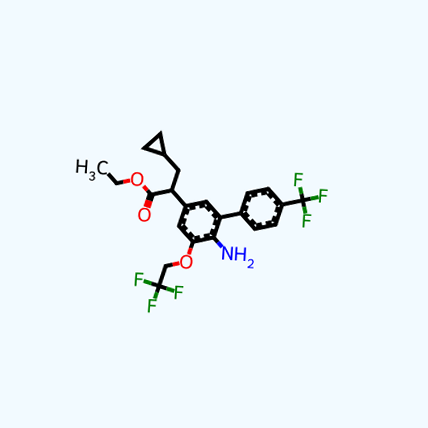 CCOC(=O)C(CC1CC1)c1cc(OCC(F)(F)F)c(N)c(-c2ccc(C(F)(F)F)cc2)c1